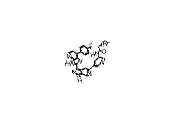 CC(C)CC(=O)Nc1cncc(-c2cc3c(-c4nc5c(-c6ccc(F)cc6)ccnc5[nH]4)n[nH]c3cn2)c1